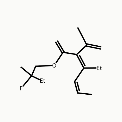 C=C(C)/C(C(=C)OCC(C)(F)CC)=C(/C=C\C)CC